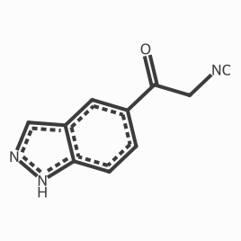 [C-]#[N+]CC(=O)c1ccc2[nH]ncc2c1